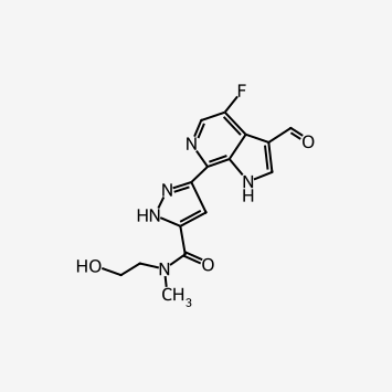 CN(CCO)C(=O)c1cc(-c2ncc(F)c3c(C=O)c[nH]c23)n[nH]1